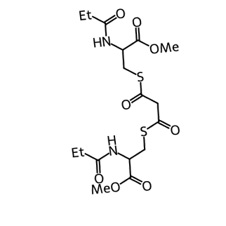 CCC(=O)NC(CSC(=O)CC(=O)SCC(NC(=O)CC)C(=O)OC)C(=O)OC